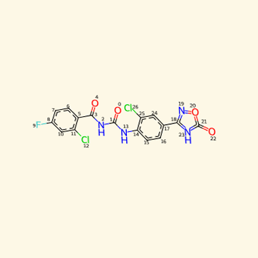 O=C(NC(=O)c1ccc(F)cc1Cl)Nc1ccc(-c2noc(=O)[nH]2)cc1Cl